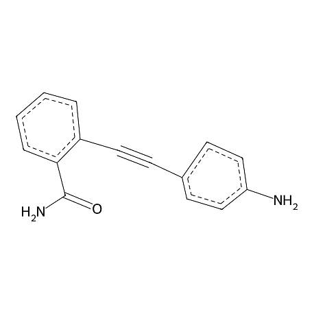 NC(=O)c1ccccc1C#Cc1ccc(N)cc1